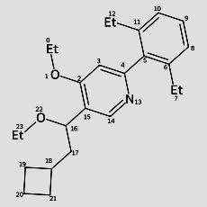 CCOc1cc(-c2c(CC)cccc2CC)ncc1C(CC1CCC1)OCC